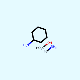 NC1CCCCC1.O=S(=O)(O)O.[NH2][Pt]